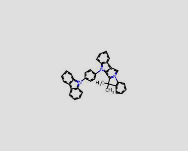 CC1(C)c2ccccc2-n2cc3c4ccccc4n(-c4ccc(-n5c6ccccc6c6ccccc65)cc4)c3c21